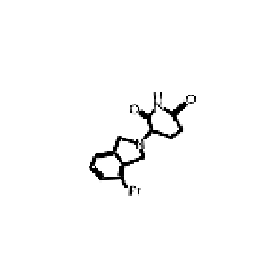 CC(C)c1cccc2c1CN(C1CCC(=O)NC1=O)C2